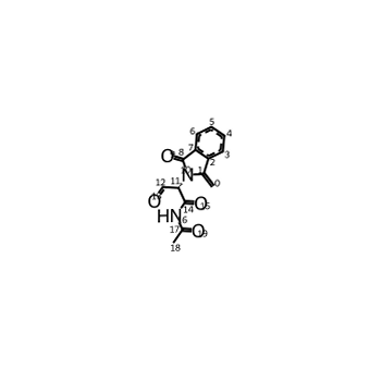 C=C1c2ccccc2C(=O)N1[C@@H](C=O)C(=O)NC(C)=O